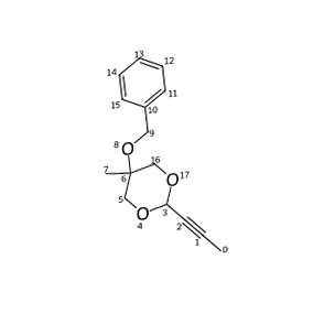 CC#CC1OCC(C)(OCc2ccccc2)CO1